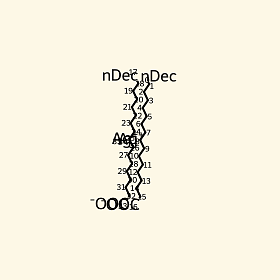 CCCCCCCCCCCCCCCCCCCCCCCCCC(=O)[O-].CCCCCCCCCCCCCCCCCCCCCCCCCC(=O)[O-].[Ag+].[Ag+]